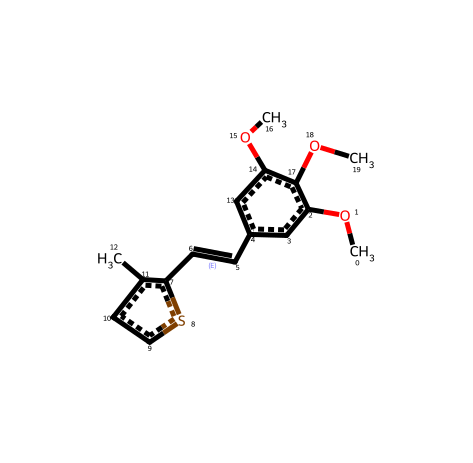 COc1cc(/C=C/c2sccc2C)cc(OC)c1OC